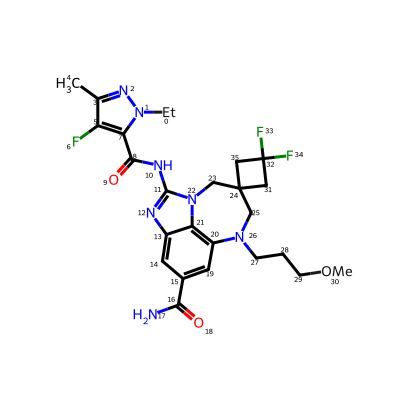 CCn1nc(C)c(F)c1C(=O)Nc1nc2cc(C(N)=O)cc3c2n1CC1(CN3CCCOC)CC(F)(F)C1